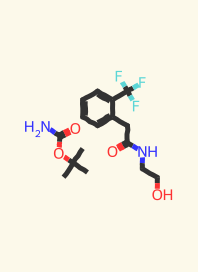 CC(C)(C)OC(N)=O.O=C(Cc1ccccc1C(F)(F)F)NCCO